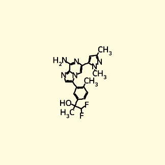 Cc1cc(-c2cn3c(-c4cc(C(C)(O)C(F)F)ccc4C)cnc3c(N)n2)n(C)n1